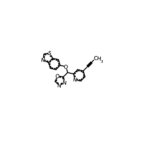 CC#Cc1ccnc(C(Oc2ccc3ncsc3c2)c2nnco2)c1